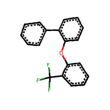 FC(F)(F)c1ccccc1Oc1ccccc1-c1ccccc1